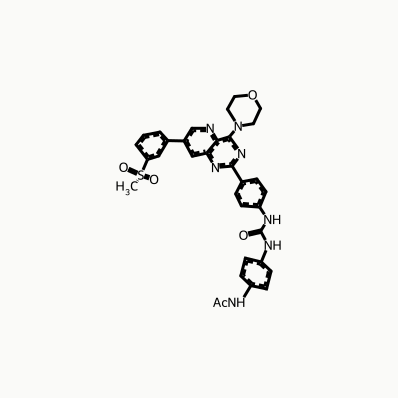 CC(=O)Nc1ccc(NC(=O)Nc2ccc(-c3nc(N4CCOCC4)c4ncc(-c5cccc(S(C)(=O)=O)c5)cc4n3)cc2)cc1